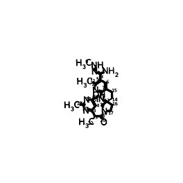 CN/N=C(\N)c1cc2c(nc1C)N[C@]1(CC2)CCN(C(=O)[C@H](C)c2cc(O)nc(C)n2)C1